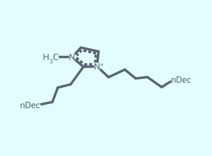 CCCCCCCCCCCCCCC[n+]1ccn(C)c1CCCCCCCCCCCCC